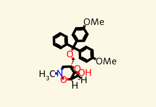 [3H][C@@H]1O[C@]2(COC(c3ccccc3)(c3ccc(OC)cc3)c3ccc(OC)cc3)CN(C)O[C@H]1C2O